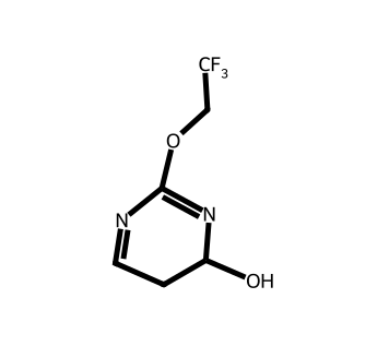 OC1CC=NC(OCC(F)(F)F)=N1